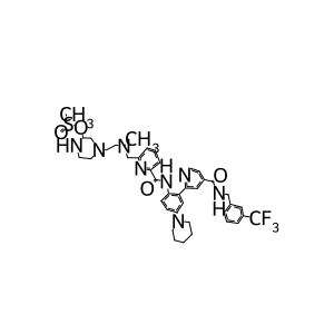 CN(CCN1CCNC(OS(C)=O)C1)Cc1cccc(C(=O)Nc2ccc(N3CCCCC3)cc2-c2cc(C(=O)NCc3cccc(C(F)(F)F)c3)ccn2)n1